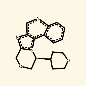 c1ccc2c(c1)ncc1nc3n(c12)[C@@H](C1CCOCC1)COC3